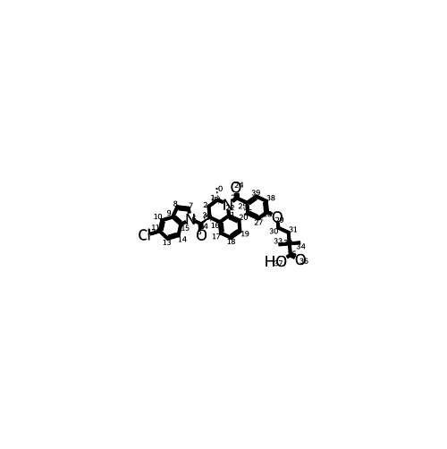 C[C@H]1C[C@H](C(=O)n2ccc3cc(Cl)ccc32)c2ccccc2N1C(=O)c1ccc(OCCC(C)(C)C(=O)O)cc1